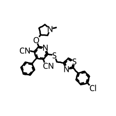 [C-]#[N+]c1c(OC2CCN(C)C2)nc(SCc2csc(-c3ccc(Cl)cc3)n2)c(C#N)c1-c1ccccc1